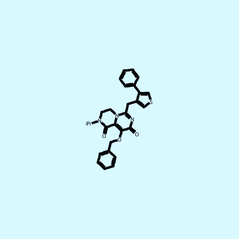 CC(C)N1CCn2c(Cc3cscc3-c3ccccc3)nc(=O)c(OCc3ccccc3)c2C1=O